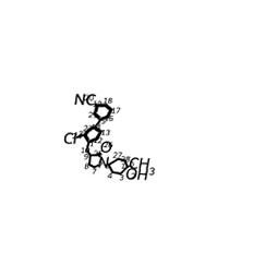 CC1(O)CCC(N2CCC(Cc3ccc(-c4cccc(C#N)c4)cc3Cl)C2=O)CC1